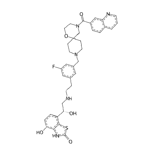 O=C(c1ccc2cccnc2c1)N1CCOC2(CCN(Cc3cc(F)cc(CCNC[C@H](O)c4ccc(O)c5[nH]c(=O)sc45)c3)CC2)C1